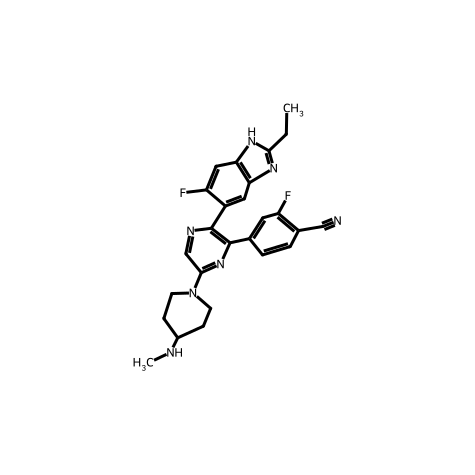 CCc1nc2cc(-c3ncc(N4CCC(NC)CC4)nc3-c3ccc(C#N)c(F)c3)c(F)cc2[nH]1